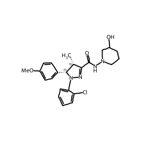 COc1ccc([C@@H]2[C@H](C)C(C(=O)NN3CCCC(O)C3)=NN2c2ccccc2Cl)cc1